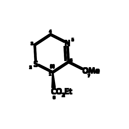 CCOC(=O)[C@H]1SCCN=C1OC